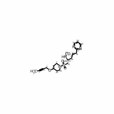 CC#CCOC1CCN(S(=O)(=O)C[C@@H](CCCc2ncccn2)NC(=O)O)CC1